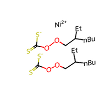 CCCCC(CC)COOC(=S)[S-].CCCCC(CC)COOC(=S)[S-].[Ni+2]